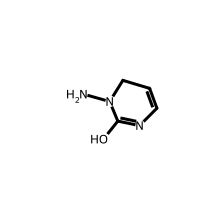 NN1CC=CN=C1O